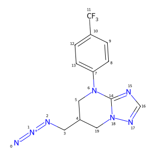 [N-]=[N+]=NCC1CN(c2ccc(C(F)(F)F)cc2)c2ncnn2C1